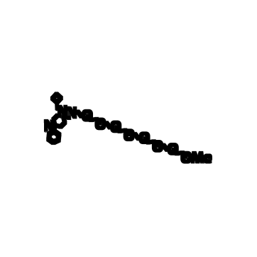 COCCOCCOCCOCCOCCOCCOCCOCCN1CN(CC2CCC2)[C@]2(CC[C@@](c3ccccc3)(N(C)C)CC2)C1